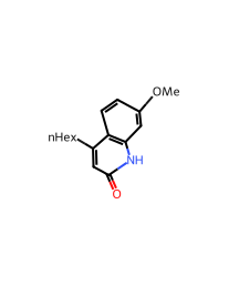 CCCCCCc1cc(=O)[nH]c2cc(OC)ccc12